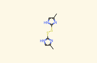 Cc1c[nH]c(SSc2nc(C)c[nH]2)n1